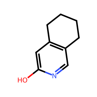 Oc1cc2c(cn1)CCCC2